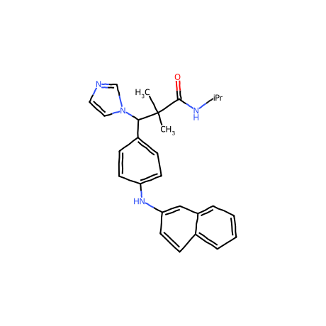 CC(C)NC(=O)C(C)(C)C(c1ccc(Nc2ccc3ccccc3c2)cc1)n1ccnc1